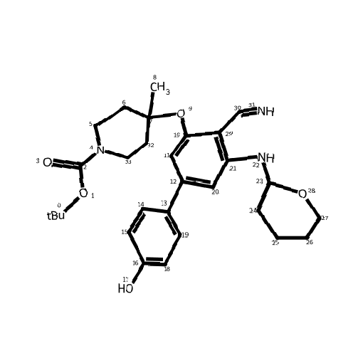 CC(C)(C)OC(=O)N1CCC(C)(Oc2cc(-c3ccc(O)cc3)cc(NC3CCCCO3)c2C=N)CC1